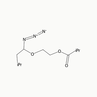 CC(C)CC(N=[N+]=[N-])OCCOC(=O)C(C)C